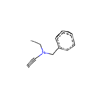 C#CN(CC)Cc1ccccc1